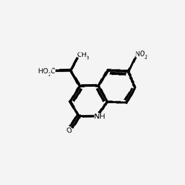 CC(C(=O)O)c1cc(=O)[nH]c2ccc([N+](=O)[O-])cc12